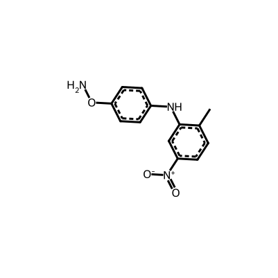 Cc1ccc([N+](=O)[O-])cc1Nc1ccc(ON)cc1